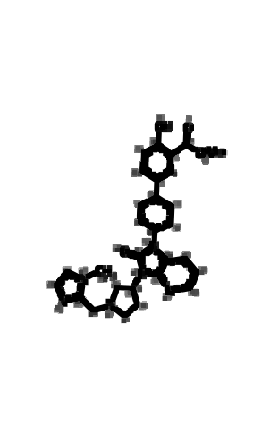 COC(=O)c1cc(-c2ccc(-n3c(=O)n([C@H]4CCN(Cc5nccn5C)C4)c4ncccc43)cc2)ccc1O